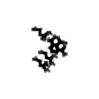 CN(C)CCO.CN(C)CCO.CN(C)CCO.O=C(O)c1cccc(C(=O)O)c1C(=O)O